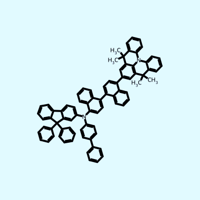 CC1(C)c2ccccc2N2c3ccccc3C(C)(C)c3cc(-c4ccc(-c5ccc(N(c6ccc(-c7ccccc7)cc6)c6ccc7c(c6)C(c6ccccc6)(c6ccccc6)c6ccccc6-7)c6ccccc56)c5ccccc45)cc1c32